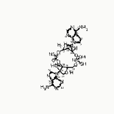 Nc1ncnc2c1ccn2[C@@H]1O[C@@H]2OP(=O)(S)O[C@@H]3[C@@H](CO[PH](O)(S)O[C@@H]1[C@@H]2O)OC[C@]3(O)n1cnc2c(N)ncnc21